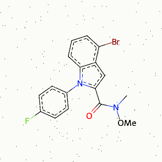 CON(C)C(=O)c1cc2c(Br)cccc2n1-c1ccc(F)cc1